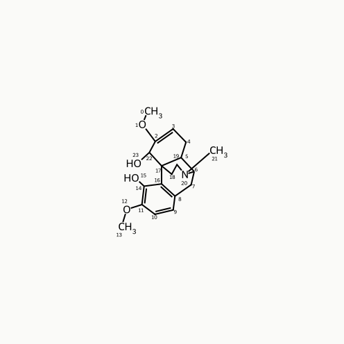 COC1=CCC2C3Cc4ccc(OC)c(O)c4C2(CCN3C)C1O